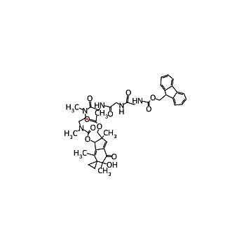 CC(=O)OCC1(C)C=C2C(=O)C(C)(O)C3(CC3)C(C)=C2C1OC(=O)N(C)CCN(C)C(=O)CNC(=O)CNC(=O)CNC(=O)OCC1c2ccccc2-c2ccccc21